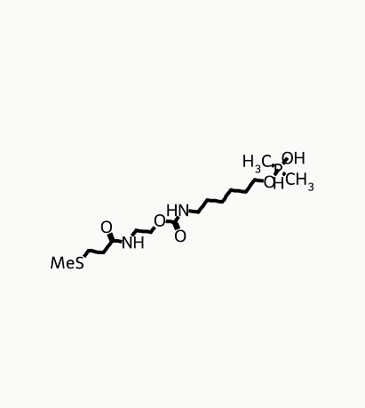 CSCCC(=O)NCCOC(=O)NCCCCCCO[PH](C)(C)O